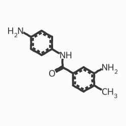 Cc1ccc(C(=O)Nc2ccc(N)cc2)cc1N